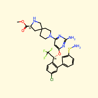 COC(=O)[C@@H]1CC2(CCN(c3cc(O[C@H](c4ccc(Cl)cc4-c4cccc(SN)c4)C(F)(F)F)nc(N)n3)CC2)CN1